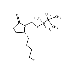 CC(C)(C)[Si](C)(C)OCN1C(=O)CC[C@H]1CCCCCl